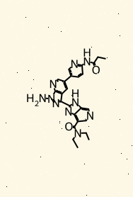 CCC(=O)Nc1ccc(-c2cnc3c(c2)c(-c2nc4c(C(=O)N(CC)CC)cncc4[nH]2)nn3N)cn1